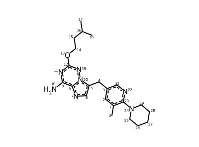 Cc1cc(Cc2cnc3c(N)nc(OCCC(C)C)nn23)cnc1N1CCCCC1